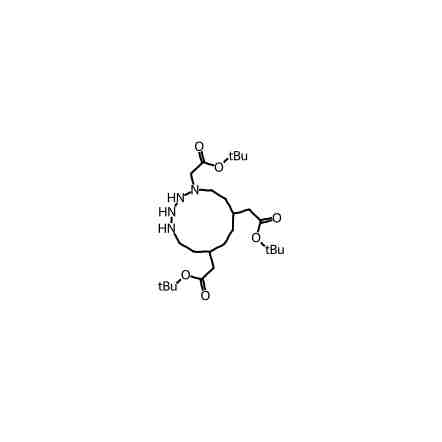 CC(C)(C)OC(=O)CC1CCNNNN(CC(=O)OC(C)(C)C)CCC(CC(=O)OC(C)(C)C)CC1